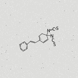 S=C=NC1(N=C=S)C=CC(C=Cc2ccccc2)=CC1